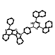 c1ccc(-c2nc3ccccc3c3c2oc2c3c3ccccc3n2-c2ccc(C3N=C(c4cccc5ccccc45)N=C(c4cccc5ccccc45)N3)cc2)cc1